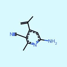 C=C(C)c1cc(N)nc(C)c1C#N